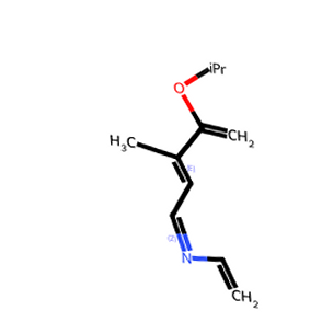 C=C/N=C\C=C(/C)C(=C)OC(C)C